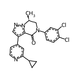 C[C@H]1CN(c2ccc(Cl)c(Cl)c2)C(=O)c2c(-c3ccnc(C4CC4)c3)cnn21